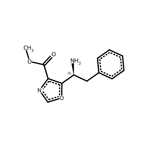 COC(=O)c1ncoc1[C@@H](N)Cc1ccccc1